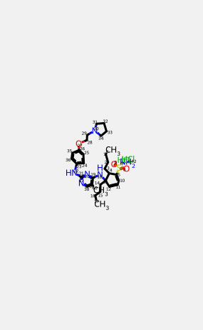 CCCCC1C(S(N)(=O)=O)=CC=CC1(CCCC)Nc1nc(Nc2ccc(OCCN3CCCC3)cc2)ncc1C.Cl.Cl